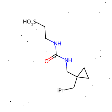 CC(C)CC1(CNC(=O)NCCS(=O)(=O)O)CC1